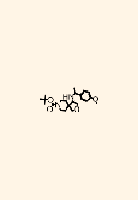 COc1ccc(C(C)N[C@@H]2COCC23CCN(C(=O)OC(C)(C)C)CC3)cc1